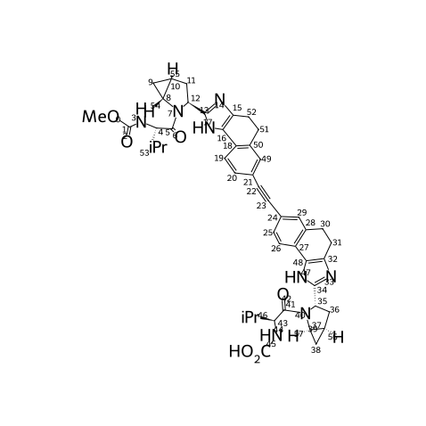 COC(=O)N[C@H](C(=O)N1[C@@H]2C[C@@H]2C[C@H]1c1nc2c([nH]1)-c1ccc(C#Cc3ccc4c(c3)CCc3nc([C@@H]5C[C@H]6C[C@H]6N5C(=O)[C@@H](NC(=O)O)C(C)C)[nH]c3-4)cc1CC2)C(C)C